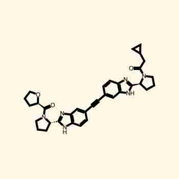 O=C(CC1CC1)N1CCC[C@H]1c1nc2ccc(C#Cc3ccc4[nH]c([C@@H]5CCCN5C(=O)[C@H]5CCCO5)nc4c3)cc2[nH]1